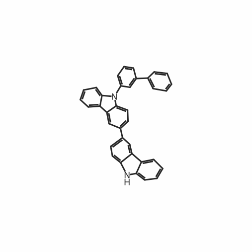 c1ccc(-c2cccc(-n3c4ccccc4c4cc(-c5ccc6[nH]c7ccccc7c6c5)ccc43)c2)cc1